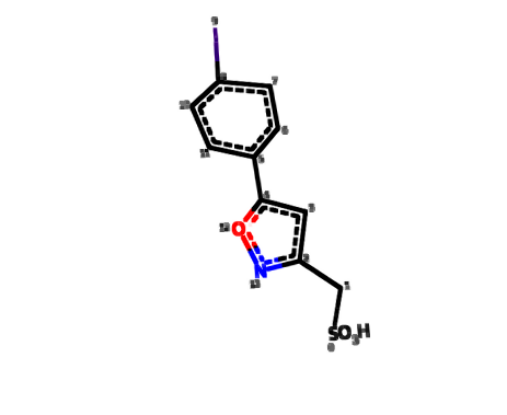 O=S(=O)(O)Cc1cc(-c2ccc(I)cc2)on1